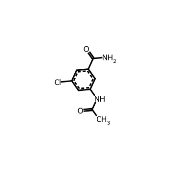 CC(=O)Nc1cc(Cl)cc(C(N)=O)c1